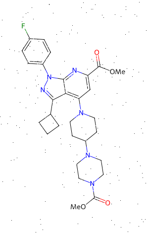 COC(=O)c1cc(N2CCC(N3CCN(C(=O)OC)CC3)CC2)c2c(C3CCC3)nn(-c3ccc(F)cc3)c2n1